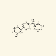 Cc1cccc(-c2ccc(C(=O)c3ccccc3)cc2)c1